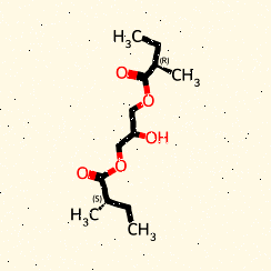 CC[C@@H](C)C(=O)OCC(O)COC(=O)[C@@H](C)CC